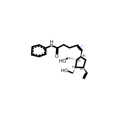 C=C[C@@H]1C[C@H](/C=C\CCC(=O)Nc2ccccc2)[C@@H](CO)[C@H]1CO